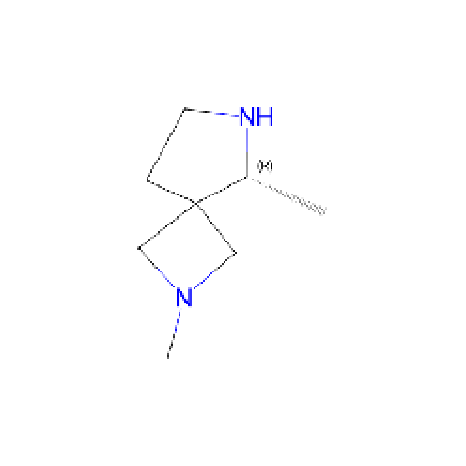 C[C@H]1NCCC12CN(C)C2